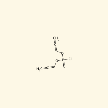 C=C=COP(=O)(Cl)OC=C=C